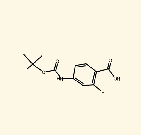 CC(C)(C)OC(=O)Nc1ccc(C(=O)O)c(F)c1